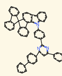 c1ccc(-c2ccc(-c3cc(-c4ccccc4)nc(-c4ccc(-n5c6ccccc6c6ccc7c(c65)-c5ccccc5C75c6ccccc6-c6ccccc65)cc4)n3)cc2)cc1